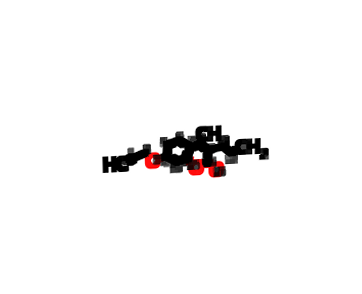 C#CCOc1ccc2c(C)c(CC=C)c(=O)oc2c1